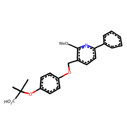 COc1nc(-c2ccccc2)ccc1COc1ccc(OC(C)(C)C(=O)O)cc1